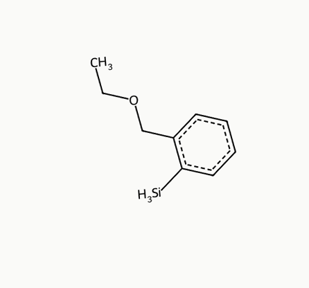 CCOCc1ccccc1[SiH3]